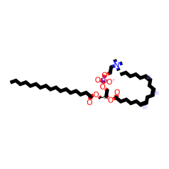 CCCCC/C=C\C/C=C\C/C=C\CCCCC(=O)O[C@H](COC(=O)CCCCCCCCCCCCCCCC)COP(=O)([O-])OCC[N+](C)(C)C